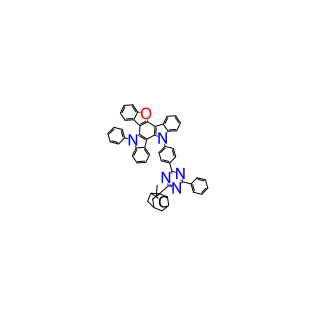 CC1(c2nc(-c3ccccc3)nc(-c3ccc(-n4c5ccccc5c5c6oc7ccccc7c6c6c(c7ccccc7n6-c6ccccc6)c54)cc3)n2)CC2CC3CC(C2)C1C3